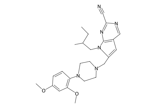 CCC(C)Cn1c(CN2CCN(c3ccc(OC)cc3OC)CC2)cc2cnc(C#N)nc21